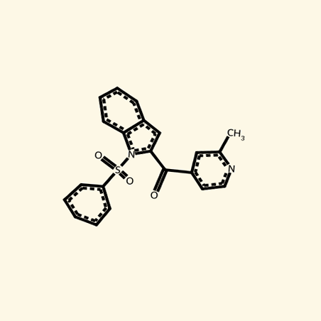 Cc1cc(C(=O)c2cc3ccccc3n2S(=O)(=O)c2ccccc2)ccn1